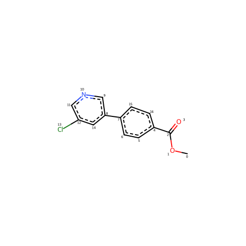 COC(=O)c1ccc(-c2cncc(Cl)c2)cc1